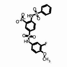 COc1ccc(NS(=O)(=O)c2ccc(NS(=O)(=O)c3ccccc3)c([N+](=O)[O-])c2)cc1F